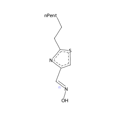 CCCCCCCc1nc(/C=N/O)cs1